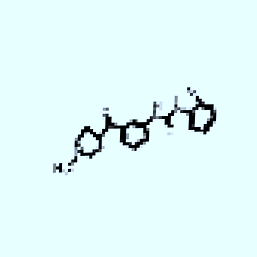 CN1CCC(C(=O)c2cccc(NC(=O)Nc3ccccc3Br)c2)CC1